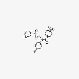 O=C(OCN(C(=O)N1CCS(=O)(=O)CC1)c1ccc(F)cc1)c1cccnc1